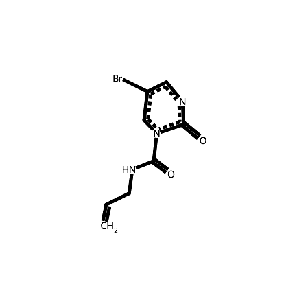 C=CCNC(=O)n1cc(Br)cnc1=O